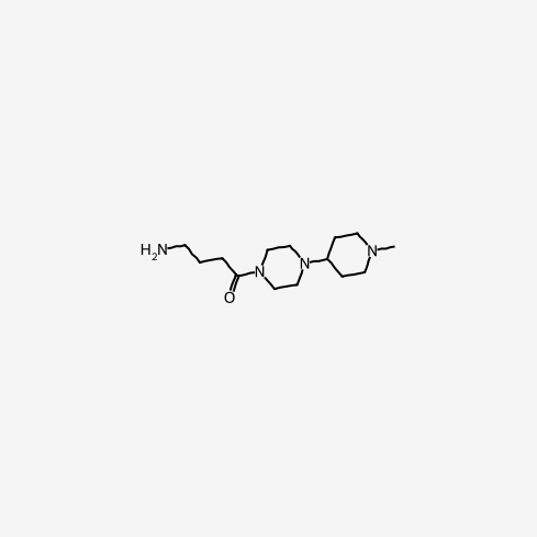 CN1CCC(N2CCN(C(=O)CCCN)CC2)CC1